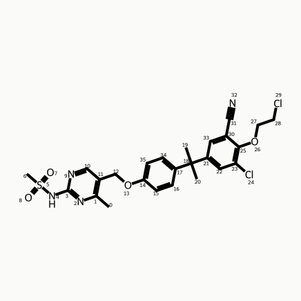 Cc1nc(NS(C)(=O)=O)ncc1COc1ccc(C(C)(C)c2cc(Cl)c(OCCCl)c(C#N)c2)cc1